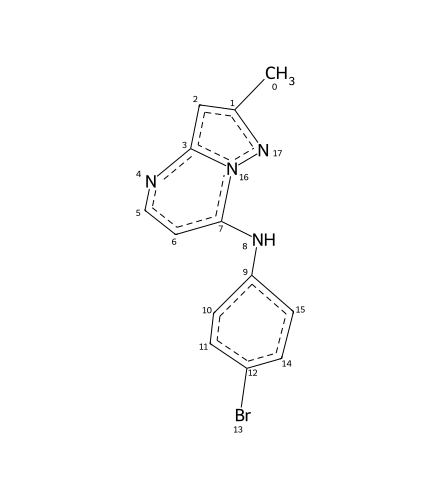 Cc1cc2nccc(Nc3ccc(Br)cc3)n2n1